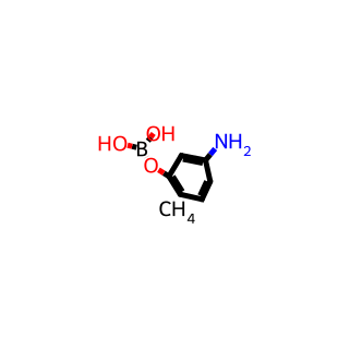 C.Nc1cccc(OB(O)O)c1